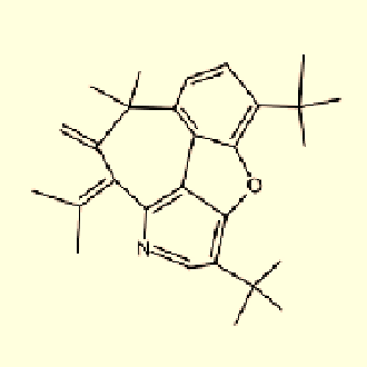 C=C1C(=C(C)C)c2ncc(C(C)(C)C)c3oc4c(C(C)(C)C)ccc(c4c23)C1(C)C